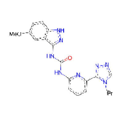 COc1ccc2[nH]nc(NC(=O)Nc3cccc(-c4nncn4C(C)C)n3)c2c1